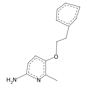 Cc1nc(N)ccc1OCCc1ccccc1